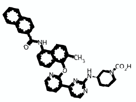 Cc1ccc2c(NC(=O)c3ccc4ccccc4c3)cccc2c1Oc1ncccc1-c1ccnc(N[C@H]2CCCN(C(=O)O)C2)n1